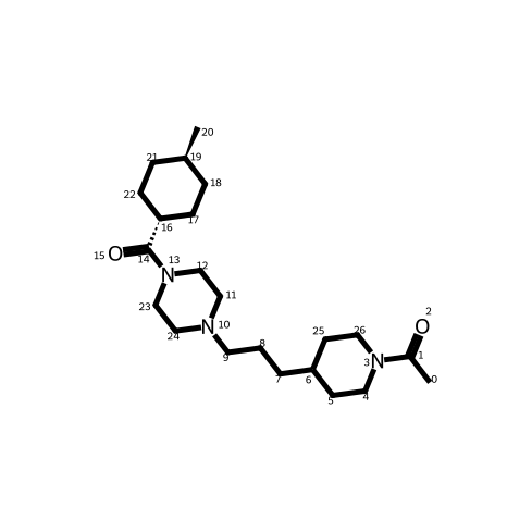 CC(=O)N1CCC(CCCN2CCN(C(=O)[C@H]3CC[C@H](C)CC3)CC2)CC1